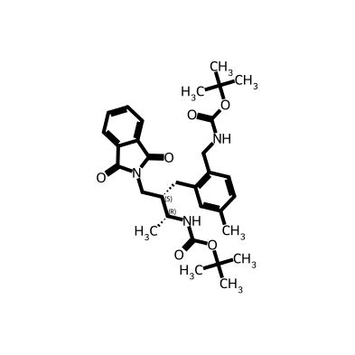 Cc1ccc(CNC(=O)OC(C)(C)C)c(C[C@@H](CN2C(=O)c3ccccc3C2=O)[C@@H](C)NC(=O)OC(C)(C)C)c1